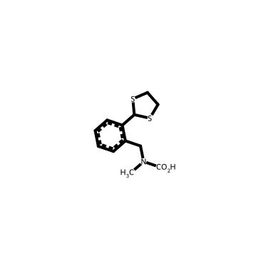 CN(Cc1ccccc1C1SCCS1)C(=O)O